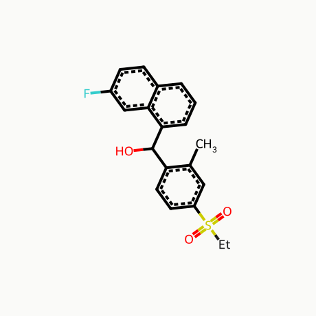 CCS(=O)(=O)c1ccc(C(O)c2cccc3ccc(F)cc23)c(C)c1